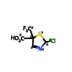 O=C(O)C1(C(F)(F)F)C=NC(Cl)S1